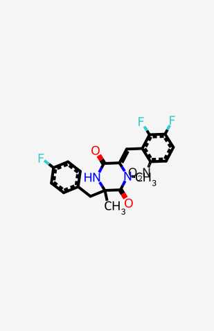 CN1C(=O)C(C)(Cc2ccc(F)cc2)NC(=O)C1=Cc1c([N+](=O)[O-])ccc(F)c1F